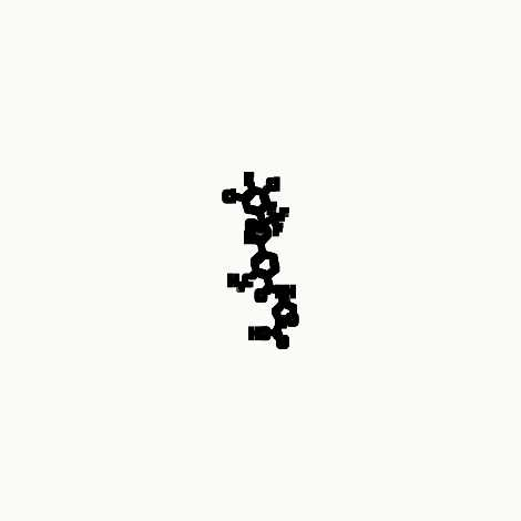 Cc1cc(C2=NO[C@@](c3cc(Cl)c(F)c(Cl)c3)(C(F)(F)F)C2)ccc1C(=O)N[C@H]1CON(C(=O)O)C1